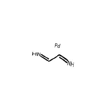 N=CC=N.[Pd]